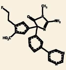 CN1C(=O)C(c2cccc(-c3cncnc3)c2)(c2cc(C(=O)O)n(CCF)c2)N=C1N